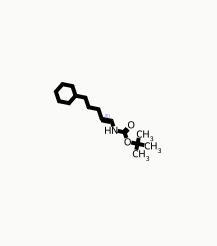 CC(C)(C)OC(=O)N/C=C/CCCC1CCCCC1